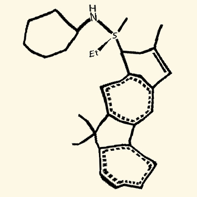 CC[S@](C)(NC1CCCCC1)C1C(C)=Cc2cc3c(cc21)C(C)(C)c1ccccc1-3